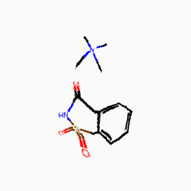 C[N+](C)(C)C.O=C1NS(=O)(=O)c2ccccc21